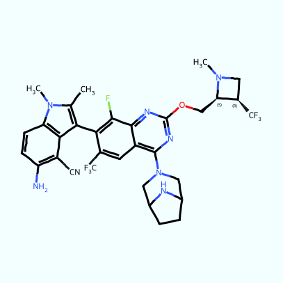 Cc1c(-c2c(C(F)(F)F)cc3c(N4CC5CCC(C4)N5)nc(OC[C@@H]4[C@H](C(F)(F)F)CN4C)nc3c2F)c2c(C#N)c(N)ccc2n1C